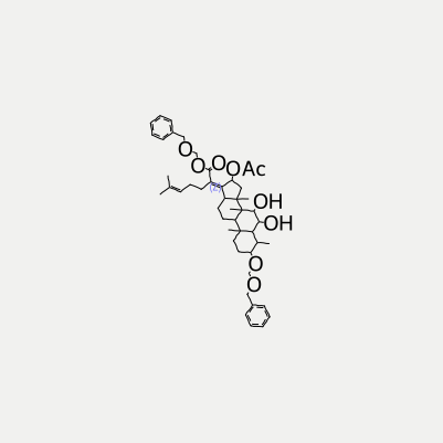 CC(=O)OC1CC2(C)C(CCC3C4(C)CCC(OCOCc5ccccc5)C(C)C4C(O)C(O)C32C)/C1=C(\CCC=C(C)C)C(=O)OCOCc1ccccc1